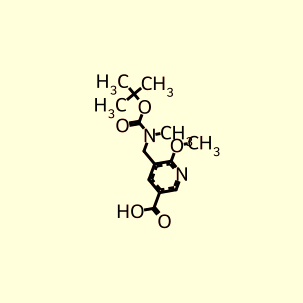 COc1ncc(C(=O)O)cc1CN(C)C(=O)OC(C)(C)C